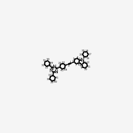 C(#Cc1ccc2c(c1)c1ccccc1n2-c1ccccc1)c1ccc(-c2nc(-c3ccccc3)nc(-c3ccccc3)n2)cc1